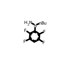 CCCCN(N)c1c(F)c(F)cc(F)c1F